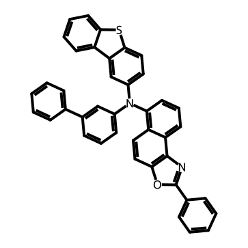 c1ccc(-c2cccc(N(c3ccc4sc5ccccc5c4c3)c3cccc4c3ccc3oc(-c5ccccc5)nc34)c2)cc1